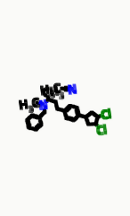 CC#N.CC(CCc1ccc(C2CC(Cl)C(Cl)C2)cc1)N(C)Cc1ccccc1